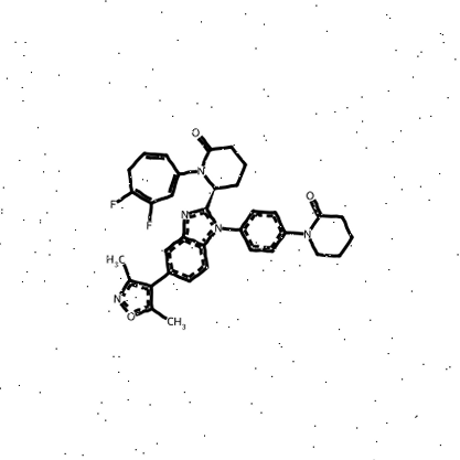 Cc1noc(C)c1-c1ccc2c(c1)nc([C@@H]1CCCC(=O)N1C1=CC(F)=C(F)CC=C1)n2-c1ccc(N2CCCCC2=O)cc1